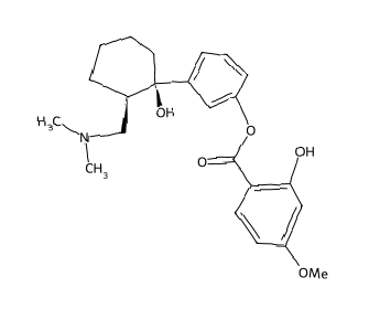 COc1ccc(C(=O)Oc2cccc([C@@]3(O)CCCC[C@@H]3CN(C)C)c2)c(O)c1